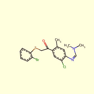 Cc1cc(/N=C\N(C)C)c(Cl)cc1C(=O)CSc1ccccc1Br